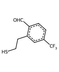 O=Cc1ccc(C(F)(F)F)cc1CCS